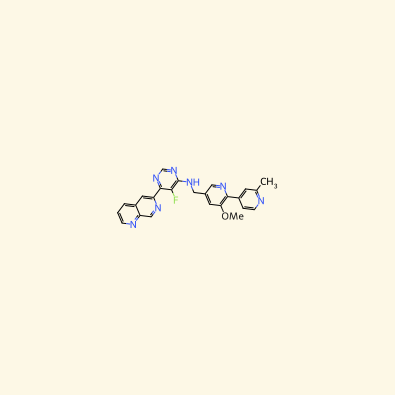 COc1cc(CNc2ncnc(-c3cc4cccnc4cn3)c2F)cnc1-c1ccnc(C)c1